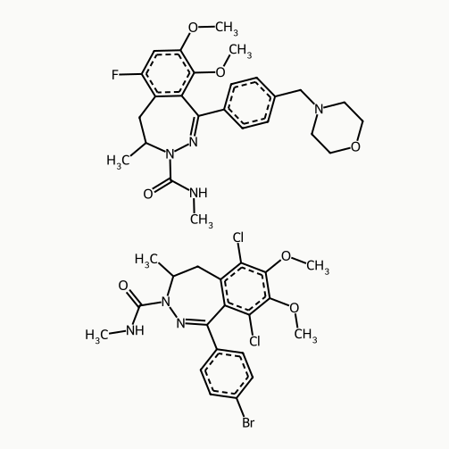 CNC(=O)N1N=C(c2ccc(Br)cc2)c2c(Cl)c(OC)c(OC)c(Cl)c2CC1C.CNC(=O)N1N=C(c2ccc(CN3CCOCC3)cc2)c2c(c(F)cc(OC)c2OC)CC1C